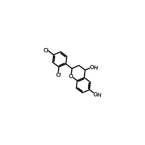 Oc1ccc2c(c1)C(O)CC(c1ccc(Cl)cc1Cl)O2